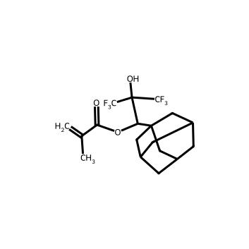 C=C(C)C(=O)OC(C12CC3CC(CC(C3)C1)C2)C(O)(C(F)(F)F)C(F)(F)F